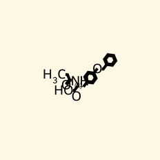 CCC(=O)N[C@H](Cc1ccc(OCc2ccccc2)cc1)C(=O)O